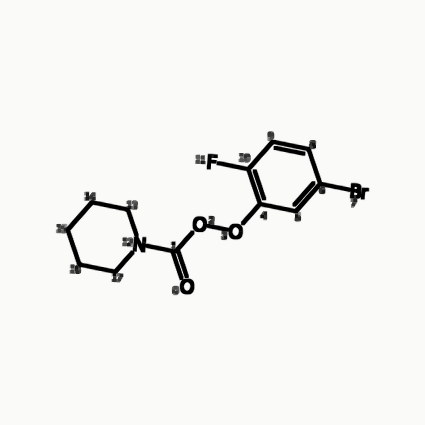 O=C(OOc1cc(Br)ccc1F)N1CCCCC1